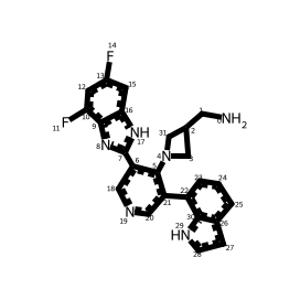 NCC1CN(c2c(-c3nc4c(F)cc(F)cc4[nH]3)cncc2-c2cccc3cc[nH]c23)C1